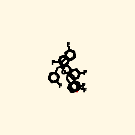 Fc1cccc(C[Si](Cc2cccc(F)c2)(Cc2cccc(F)c2)O[Si](Cc2cccc(F)c2)(Cc2cccc(F)c2)Cc2cccc(F)c2)c1